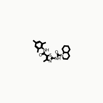 Cc1cc(C)c(NC(=O)c2sc(NC(=O)N3CCCC4CCCCC43)nc2C)c(C)c1